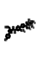 Cc1cc(NC(=O)c2nn(-c3ccc(Cl)cc3)cc2CO)cnc1N1CC[C@H](N(C)C(=O)OC(C)(C)C)C1